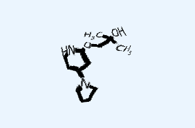 CC(C)(O)COC1=CC(N2CCCC2)=CCN1